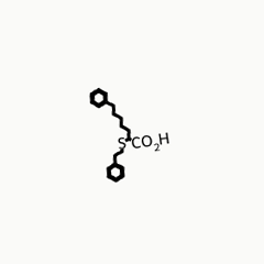 O=C(O)C(CCCCCc1ccccc1)SCCc1ccccc1